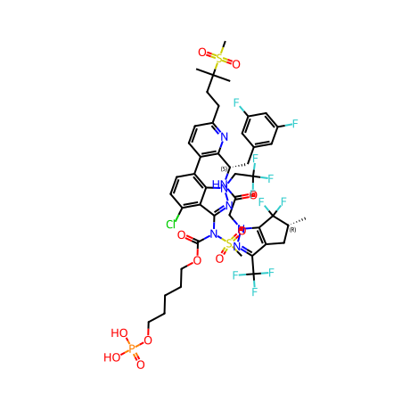 C[C@@H]1Cc2c(C(F)(F)F)nn(CC(=O)N[C@@H](Cc3cc(F)cc(F)c3)c3nc(CCC(C)(C)S(C)(=O)=O)ccc3-c3ccc(Cl)c4c(N(C(=O)OCCCCCOP(=O)(O)O)S(C)(=O)=O)nn(CC(F)(F)F)c34)c2C1(F)F